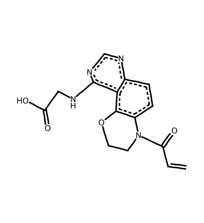 C=CC(=O)N1CCOc2c1ccc1ncnc(NCC(=O)O)c21